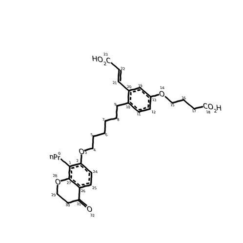 CCCc1c(OCCCCCCc2ccc(OCCCC(=O)O)cc2C=CC(=O)O)ccc2c1OCCC2=O